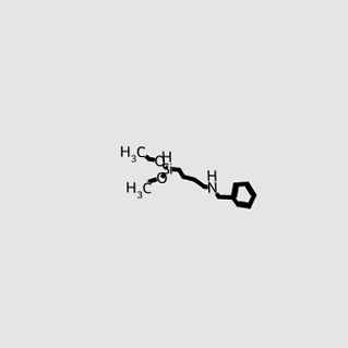 CCO[SiH](CCCCNCc1ccccc1)OCC